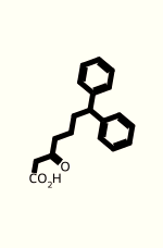 O=C(O)CC(=O)CCCC(c1ccccc1)c1ccccc1